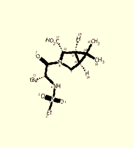 CCS(=O)(=O)N[C@@H](C(=O)N1C[C@H]2[C@@H]([C@H]1C(=O)O)C2(C)C)C(C)(C)C